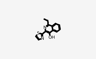 CCc1nc(-c2nccs2)c(O)c2ccccc12